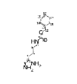 NC[C@@H](N)CCCCNC(=O)OCc1ccccc1